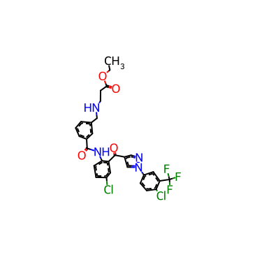 CCOC(=O)CCNCc1cccc(C(=O)Nc2ccc(Cl)cc2C(=O)c2cnn(-c3ccc(Cl)c(C(F)(F)F)c3)c2)c1